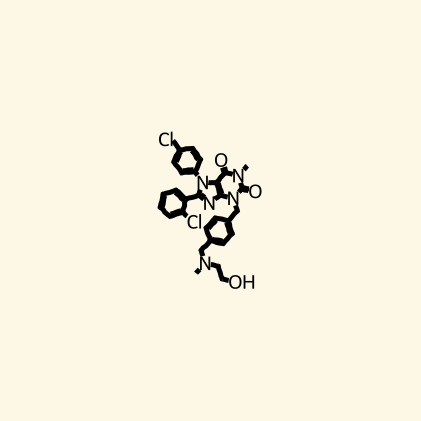 CN(CCO)Cc1ccc(Cn2c(=O)n(C)c(=O)c3c2nc(-c2ccccc2Cl)n3-c2ccc(Cl)cc2)cc1